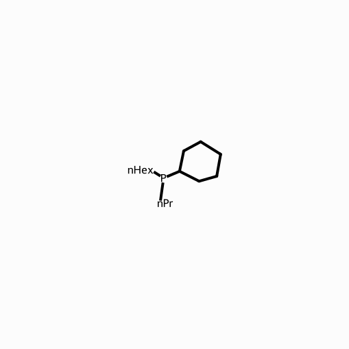 CCCCCCP(CCC)C1CCCCC1